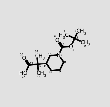 CC(C)(C)OC(=O)N1CCC[C@@H](C(C)(C)C(=O)O)C1